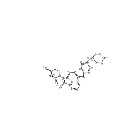 O=C1CCC(N2C(=O)c3cccc4c(Cc5ccc(CN6CCOCC6)nc5)ccc2c34)C(=O)N1